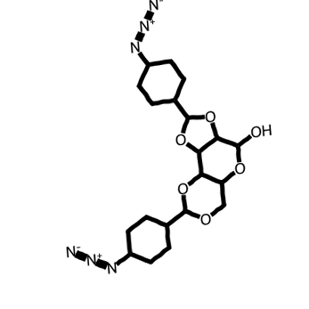 [N-]=[N+]=NC1CCC(C2OCC3OC(O)C4OC(C5CCC(N=[N+]=[N-])CC5)OC4C3O2)CC1